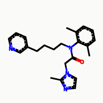 Cc1cccc(C)c1N(CCCCc1cccnc1)C(=O)Cn1ccnc1C